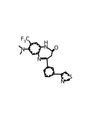 CN(C)c1cc2c(cc1C(F)(F)F)NC(=O)CC(c1cccc(-c3cscn3)c1)=N2